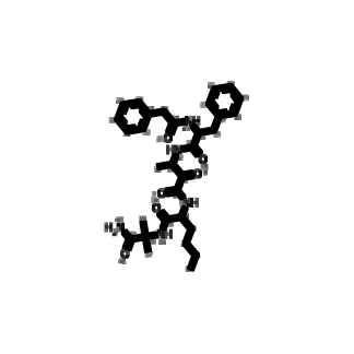 CCCCC(NC(=O)C(=O)C(C)NC(=O)C(Cc1ccccc1)NC(=O)Cc1ccccc1)C(=O)NC(C)(C)C(N)=O